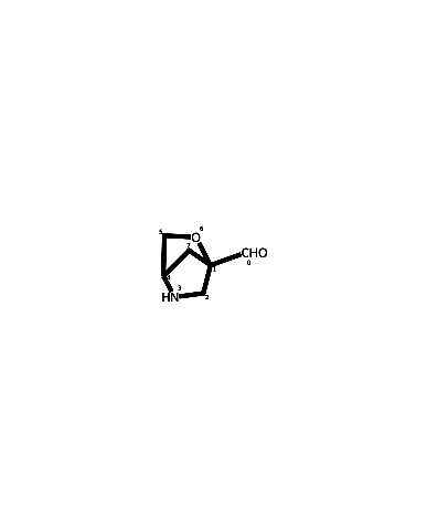 O=CC12CNC(CO1)C2